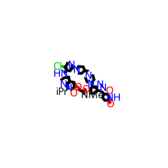 CNC(=O)COc1cc2cc(Nc3cc(N4CCC(CN5CCN(c6cccc7c(C8CCC(=O)NC8=O)nn(C)c67)CC5)CC4)ncc3Cl)cnc2n(C(C)C)c1=O